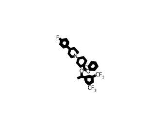 CC(OC(=O)[C@]1(c2ccccc2)CC[C@@H](N2CCC(c3ccc(F)cc3)CC2)CC1)c1cc(C(F)(F)F)cc(C(F)(F)F)c1